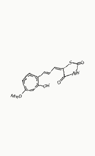 COc1ccc(C=CC=C2SC(=O)NC2=O)c(O)c1